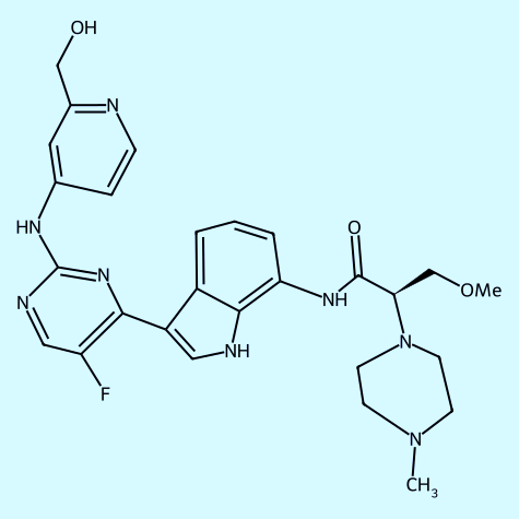 COC[C@H](C(=O)Nc1cccc2c(-c3nc(Nc4ccnc(CO)c4)ncc3F)c[nH]c12)N1CCN(C)CC1